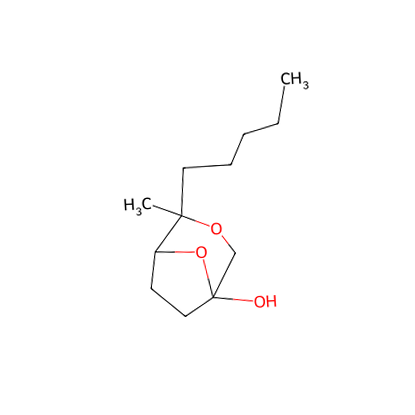 CCCCCC1(C)OCC2(O)CCC1O2